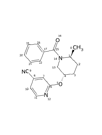 C[C@H]1CC[C@H](Oc2cc(C#N)ccn2)CN1C(=O)c1ccccc1